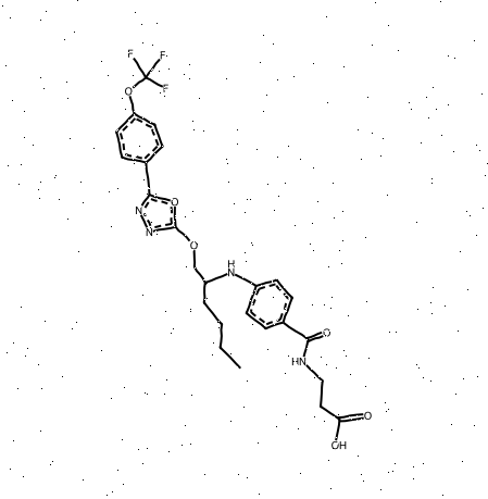 CCCCC(COc1nnc(-c2ccc(OC(F)(F)F)cc2)o1)Nc1ccc(C(=O)NCCC(=O)O)cc1